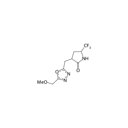 COCc1nnc(CC2CC(C(F)(F)F)NC2=O)o1